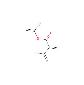 C=C(Cl)OC(=O)C(=C)C(=C)Cl